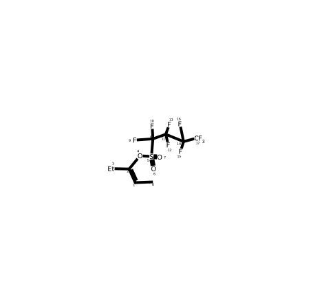 CC=C(CC)OS(=O)(=O)C(F)(F)C(F)(F)C(F)(F)C(F)(F)F